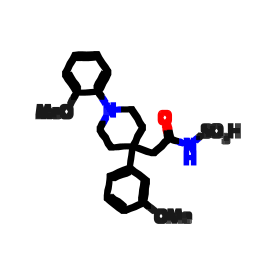 COc1cccc(C2(CC(=O)NS(=O)(=O)O)CCN(c3ccccc3OC)CC2)c1